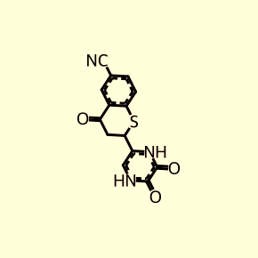 N#Cc1ccc2c(c1)C(=O)CC(c1c[nH]c(=O)c(=O)[nH]1)S2